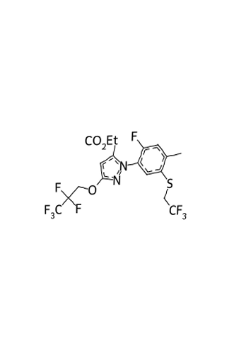 CCOC(=O)c1cc(OCC(F)(F)C(F)(F)F)nn1-c1cc(SCC(F)(F)F)c(C)cc1F